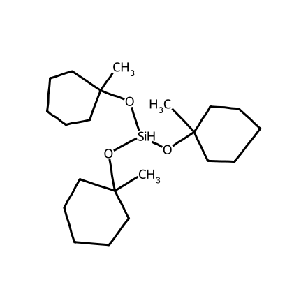 CC1(O[SiH](OC2(C)CCCCC2)OC2(C)CCCCC2)CCCCC1